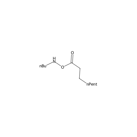 CCCCCCCC(=O)ONCCCC